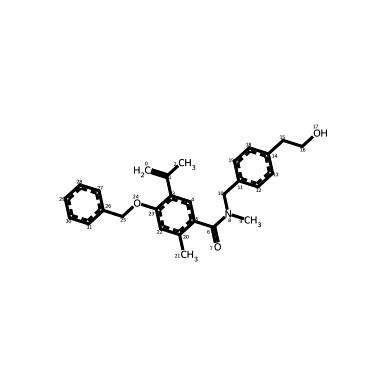 C=C(C)c1cc(C(=O)N(C)Cc2ccc(CCO)cc2)c(C)cc1OCc1ccccc1